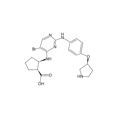 O=C(O)[C@H]1CCC[C@H]1Nc1nc(Nc2ccc(O[C@H]3CCNC3)cc2)ncc1Br